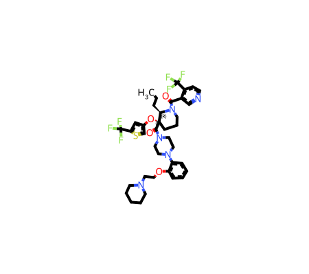 CCC[C@H]1N(C(=O)c2cnccc2C(F)(F)F)CCC[C@@]1(Oc1csc(C(F)(F)F)c1)C(=O)N1CCN(c2ccccc2OCCN2CCCCC2)CC1